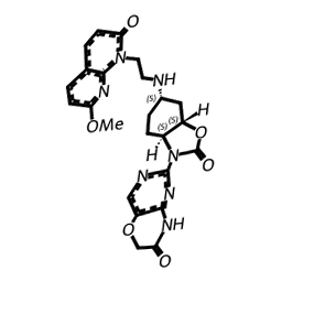 COc1ccc2ccc(=O)n(CCN[C@H]3CC[C@H]4[C@H](C3)OC(=O)N4c3ncc4c(n3)NC(=O)CO4)c2n1